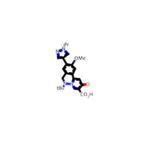 COc1cc2c(cc1-c1cnn(C(C)C)c1)CN(C(C)(C)C)n1cc(C(=O)O)c(=O)cc1-2